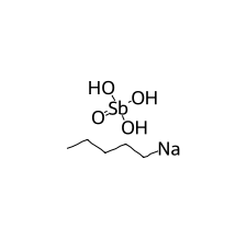 CCCC[CH2][Na].[O]=[Sb]([OH])([OH])[OH]